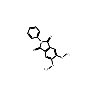 COc1cc2c(cc1OC)C(=O)N(c1ccccc1)C2=O